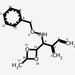 C=CC(=C)C(NOCc1ccccc1)C1OC(C)O1